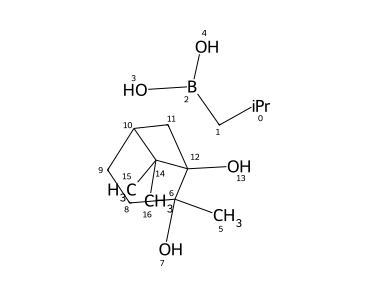 CC(C)CB(O)O.CC1(O)CCC2CC1(O)C2(C)C